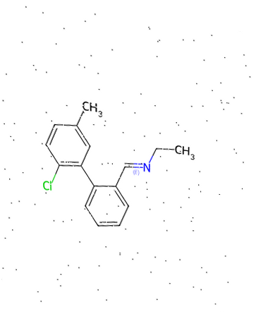 CC/N=C/c1ccccc1-c1cc(C)ccc1Cl